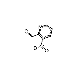 O=Cc1ncccc1[N+](=O)[O-]